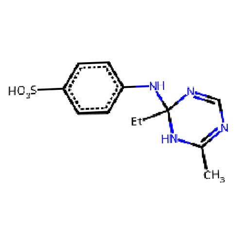 CCC1(Nc2ccc(S(=O)(=O)O)cc2)N=CN=C(C)N1